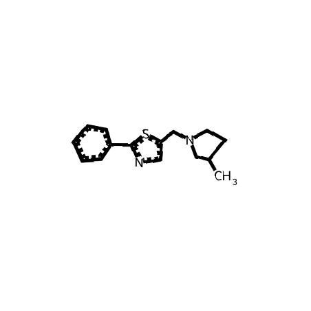 CC1CCN(Cc2cnc(-c3ccccc3)s2)C1